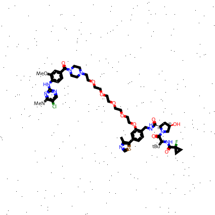 CNc1nc(Nc2ccc(C(=O)N3CCN(CCOCCOCCOCCOCCOc4cc(-c5scnc5C)ccc4CNC(=O)[C@@H]4C[C@@H](O)CN4C(=O)C(NC(=O)C4(F)CC4)C(C)(C)C)CC3)cc2OC)ncc1Cl